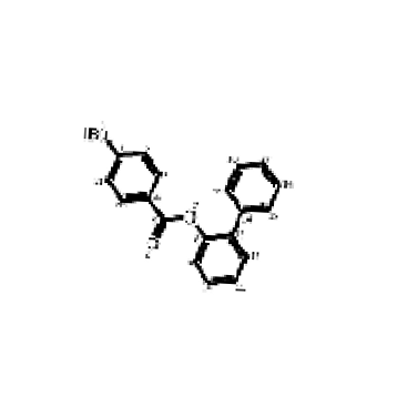 CCC(C)c1ccc(C(=O)Oc2ccccc2-c2ccccc2)cc1